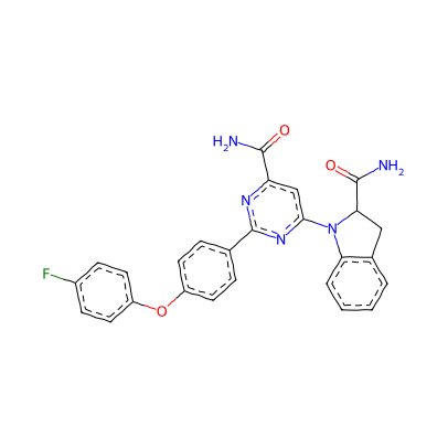 NC(=O)c1cc(N2c3ccccc3CC2C(N)=O)nc(-c2ccc(Oc3ccc(F)cc3)cc2)n1